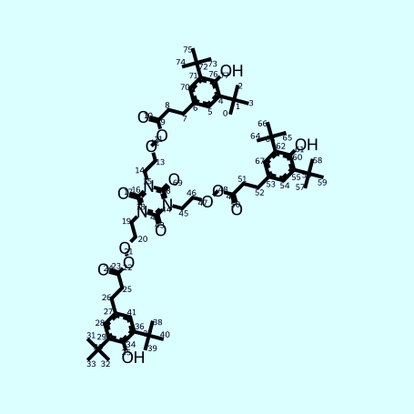 CC(C)(C)c1cc(CCC(=O)OOCCn2c(=O)n(CCOOC(=O)CCc3cc(C(C)(C)C)c(O)c(C(C)(C)C)c3)c(=O)n(CCOOC(=O)CCc3cc(C(C)(C)C)c(O)c(C(C)(C)C)c3)c2=O)cc(C(C)(C)C)c1O